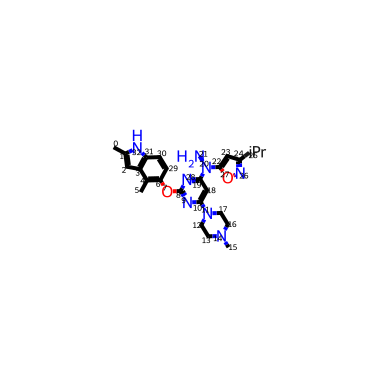 Cc1cc2c(C)c(Oc3nc(N4CCN(C)CC4)cc(N(N)c4cc(C(C)C)no4)n3)ccc2[nH]1